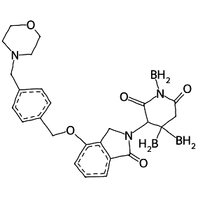 BN1C(=O)CC(B)(B)C(N2Cc3c(OCc4ccc(CN5CCOCC5)cc4)cccc3C2=O)C1=O